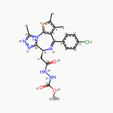 Cc1sc2c(c1C)C(c1ccc(Cl)cc1)=N[C@@H](CC(=O)NNC(=O)OC(C)(C)C)c1nnc(C)n1-2